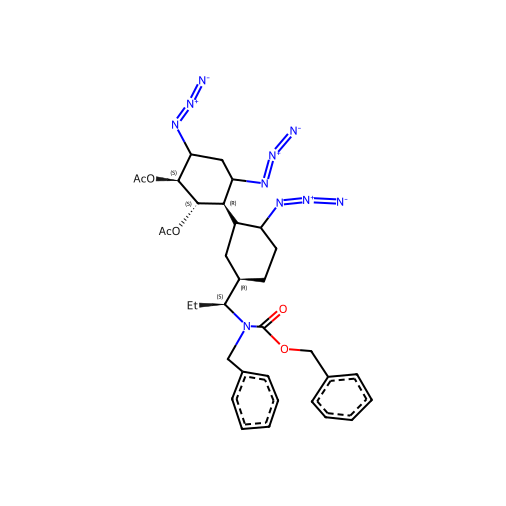 CC[C@@H]([C@@H]1CCC(N=[N+]=[N-])C([C@@H]2C(N=[N+]=[N-])CC(N=[N+]=[N-])[C@H](OC(C)=O)[C@H]2OC(C)=O)C1)N(Cc1ccccc1)C(=O)OCc1ccccc1